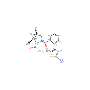 NC(=O)[C@@H]1[C@@H]2C[C@@H]2CN1C(=O)c1ccccc1-c1csc(N)n1